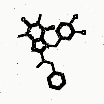 CN(Cc1ccccc1)c1nc2c(c(=O)n(C)c(=O)n2C)n1Cc1ccc(Cl)c(Cl)c1